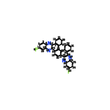 Fc1ccc2nc(-c3ccccc3)c(-c3ccc(-c4nc5cc(F)ccc5nc4-c4ccccc4)cc3)nc2c1